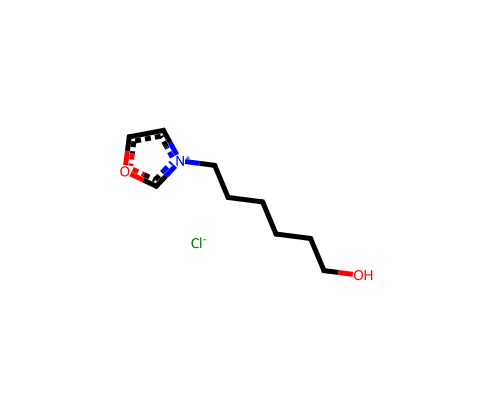 OCCCCCC[n+]1ccoc1.[Cl-]